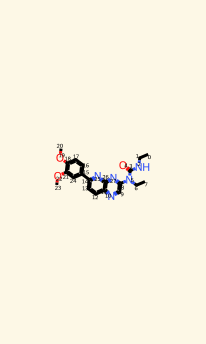 CCNC(=O)N(CC)c1cnc2ccc(-c3ccc(OC)c(OC)c3)nc2n1